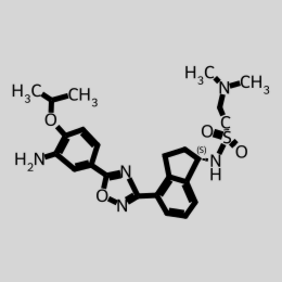 CC(C)Oc1ccc(-c2nc(-c3cccc4c3CC[C@@H]4NS(=O)(=O)CCN(C)C)no2)cc1N